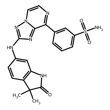 CC1(C)C(=O)Nc2cc(Nc3nc4c(-c5cccc(S(N)(=O)=O)c5)nccn4n3)ccc21